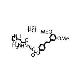 COc1cc(C=Cc2ccc(OC(=O)OCCNC(=O)C(N)Cc3ncc[nH]3)cc2)cc(OC)c1.Cl.Cl